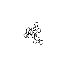 c1ccc2c(c1)sc1c(-c3nc(-c4cccc5c4sc4ccccc45)nc(-n4c5ncccc5c5cccnc54)n3)cccc12